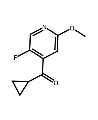 COc1cc(C(=O)C2CC2)c(F)cn1